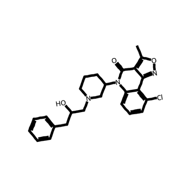 Cc1onc2c1c(=O)n(C1CCCN(CC(O)Cc3ccccc3)C1)c1cccc(Cl)c21